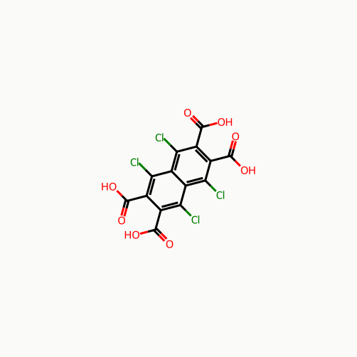 O=C(O)c1c(C(=O)O)c(Cl)c2c(Cl)c(C(=O)O)c(C(=O)O)c(Cl)c2c1Cl